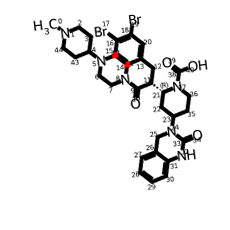 CN1CCC(N2CCN(C(=O)C(Cc3ccc(Br)c(Br)c3)[C@H]3CC(N4Cc5ccccc5NC4=O)CCN3C(=O)O)CC2)CC1